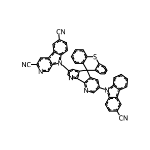 N#Cc1ccc2c(c1)c1ccccc1n2-c1cnc2c(c1)C1(c3ccccc3Sc3ccccc31)c1cc(-n3c4ccc(C#N)cc4c4cc(C#N)ncc43)cnc1-2